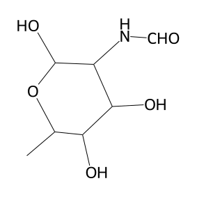 CC1OC(O)C(NC=O)C(O)C1O